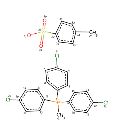 C[P+](c1ccc(Cl)cc1)(c1ccc(Cl)cc1)c1ccc(Cl)cc1.Cc1ccc(S(=O)(=O)[O-])cc1